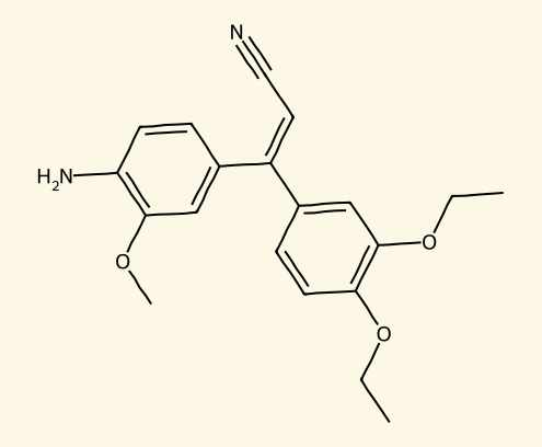 CCOc1ccc(C(=CC#N)c2ccc(N)c(OC)c2)cc1OCC